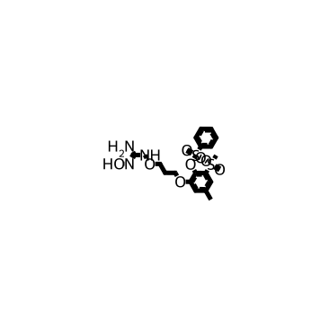 Cc1cc(OCCCONC(N)=NO)c(OS(=O)(=O)c2ccccc2)c(S(C)(=O)=O)c1